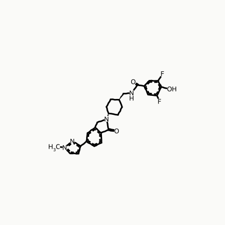 Cn1ccc(-c2ccc3c(c2)CN([C@H]2CC[C@H](CNC(=O)c4cc(F)c(O)c(F)c4)CC2)C3=O)n1